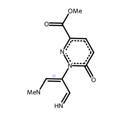 CN/C=C(\C=N)n1nc(C(=O)OC)ccc1=O